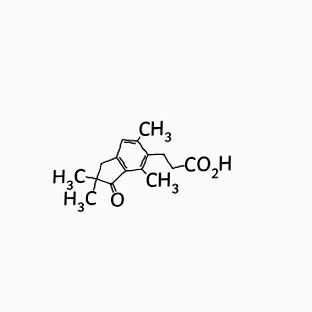 Cc1cc2c(c(C)c1CCC(=O)O)C(=O)C(C)(C)C2